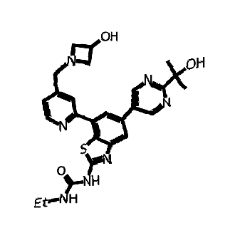 CCNC(=O)Nc1nc2cc(-c3cnc(C(C)(C)O)nc3)cc(-c3cc(CN4CC(O)C4)ccn3)c2s1